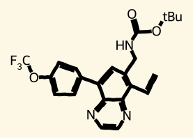 C=Cc1c(CNC(=O)OC(C)(C)C)cc(-c2ccc(OC(F)(F)F)cc2)c2nccnc12